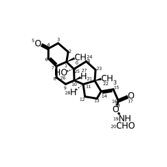 C[C@]12CCC(=O)C=C1CC[C@H]1[C@@H]3CCC(=CC(=O)ONC=O)[C@@]3(C)CC[C@@]12O